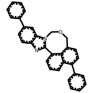 c1ccc(-c2ccc3nc4n(c3c2)COCc2ccc(-c3ccccc3)c3cccc-4c23)cc1